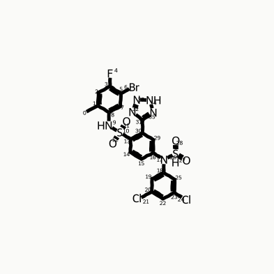 Cc1cc(F)c(Br)cc1NS(=O)(=O)c1ccc(N(c2cc(Cl)cc(Cl)c2)[SH](=O)=O)cc1-c1nn[nH]n1